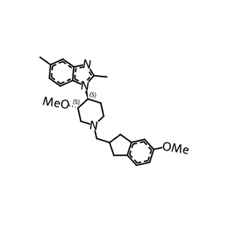 COc1ccc2c(c1)CC(CN1CC[C@H](n3c(C)nc4cc(C)ccc43)[C@@H](OC)C1)C2